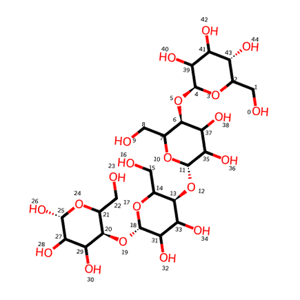 OCC1O[C@@H](O[C@@H]2C(CO)O[C@@H](O[C@@H]3C(CO)O[C@@H](O[C@@H]4C(CO)O[C@@H](O)C(O)C4O)C(O)C3O)C(O)C2O)C(O)C(O)[C@@H]1O